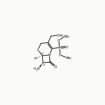 CC(=O)OCC1=C(P(=O)(OC(C)(C)C)OC(C)(C)C)N2C(=O)[C@@H](N)[C@H]2SC1